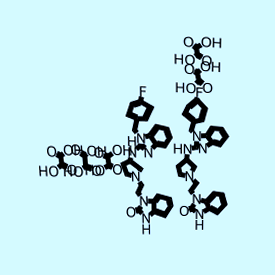 O=C(O)C(=O)O.O=C(O)C(=O)O.O=C(O)C(=O)O.O=C(O)C(=O)O.O=C(O)C(=O)O.O=c1[nH]c2ccccc2n1CCN1CCC(Nc2nc3ccccc3n2Cc2ccc(F)cc2)C1.O=c1[nH]c2ccccc2n1CCN1CCC(Nc2nc3ccccc3n2Cc2ccc(F)cc2)C1